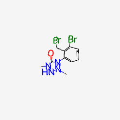 CN1NN(C)N(c2cccc(Br)c2CBr)C1=O